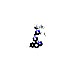 CC1=CC(CN2CCC(=C3c4ccc(Cl)cc4CCc4cccnc43)CC2)C[N+](C(C=O)CC(=O)O)=C1